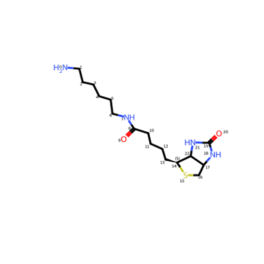 NCCCCCCNC(=O)CCCC[C@@H]1SCC2NC(=O)NC21